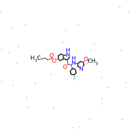 CCCCC(=O)Oc1ccc2[nH]cc(C(=O)C(Nc3cncc(OC)c3)c3ccc(F)cc3)c2c1